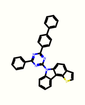 c1ccc(-c2ccc(-c3nc(-c4ccccc4)nc(-n4c5ccccc5c5c6sccc6ccc54)n3)cc2)cc1